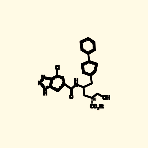 CCOC(=O)[C@@H](CO)CC(Cc1ccc(-c2ccccc2)cc1)NC(=O)c1cc(Cl)c2nn[nH]c2c1